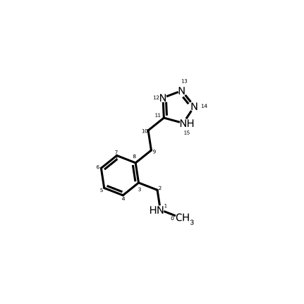 CNCc1ccc[c]c1CCc1nnn[nH]1